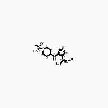 CS(=N)(=O)N1CCC(Nc2nonc2/C(N)=N\O)CC1